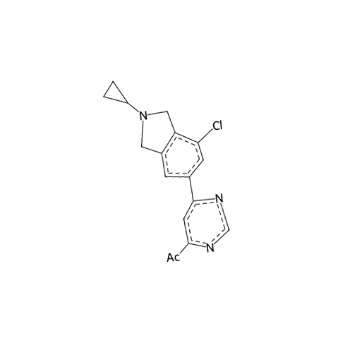 CC(=O)c1cc(-c2cc(Cl)c3c(c2)CN(C2CC2)C3)ncn1